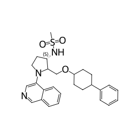 CS(=O)(=O)N[C@H]1CCN(c2cncc3ccccc23)C1COC1CCC(c2ccccc2)CC1